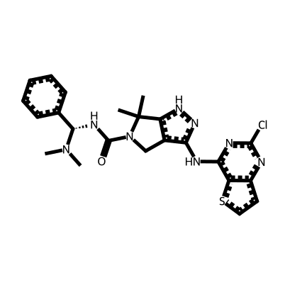 CN(C)[C@@H](NC(=O)N1Cc2c(Nc3nc(Cl)nc4ccsc34)n[nH]c2C1(C)C)c1ccccc1